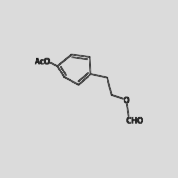 CC(=O)Oc1ccc(CCOC=O)cc1